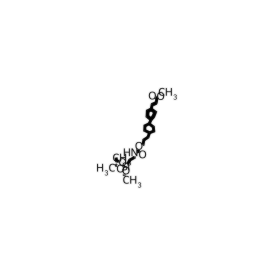 CCO[Si](CCCNC(=O)OCCCC1CCC(c2ccc(/C=C/C(=O)OC)cc2)CC1)(OCC)OCC